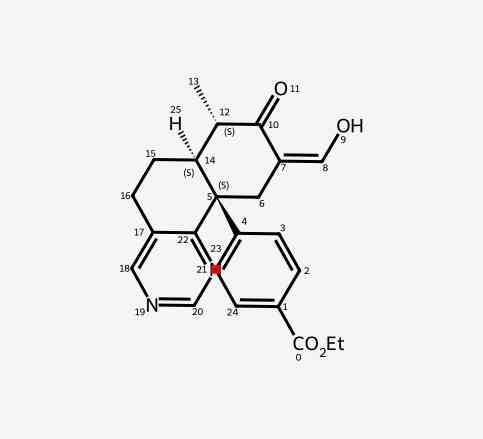 CCOC(=O)c1ccc([C@]23CC(=CO)C(=O)[C@@H](C)[C@@H]2CCc2cncnc23)cc1